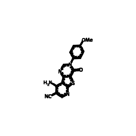 COc1ccc(-n2cnc3c(sc4ncc(C#N)c(N)c43)c2=O)cc1